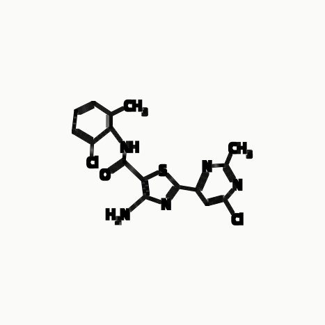 Cc1nc(Cl)cc(-c2nc(N)c(C(=O)Nc3c(C)cccc3Cl)s2)n1